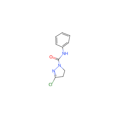 O=C(Nc1ccccc1)N1CCC(Cl)=N1